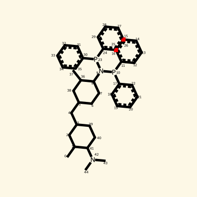 CC1CC(CC2CCC(N(P(c3ccccc3)c3ccccc3)P(c3ccccc3)c3ccccc3)C(C)C2)CCC1N(C)C